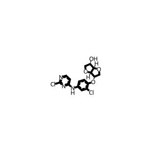 O[C@H]1CO[C@H]2[C@@H]1OC[C@@H]2Oc1ccc(Nc2ccnc(Cl)n2)cc1Cl